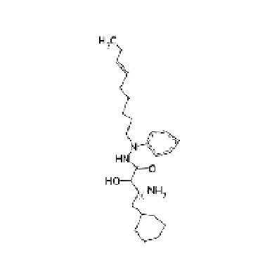 CCC=CCCCCCN(NC(=O)C(O)[C@H](N)CC1CCCCC1)c1ccccc1